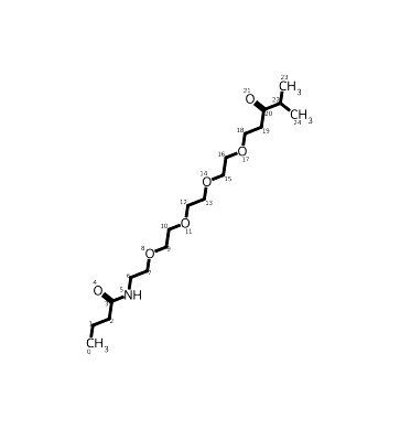 CCCC(=O)NCCOCCOCCOCCOCCC(=O)C(C)C